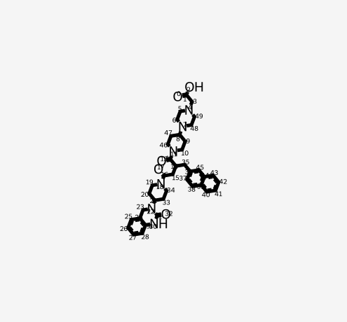 O=C(O)CN1CCN(C2CCN(C(=O)C(CC(=O)N3CCC(N4Cc5ccccc5NC4=O)CC3)Cc3ccc4ccccc4c3)CC2)CC1